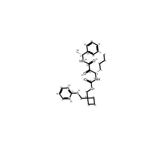 CCCC[C@H](NC(=O)OCC1(CSc2ncccn2)CCC1)C(=O)C(=O)N[C@H](C)c1ccccc1